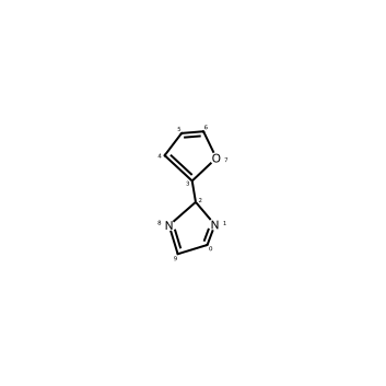 C1=NC(c2ccco2)N=C1